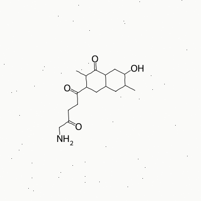 CC1CC2CC(C(=O)CCC(=O)CN)C(C)C(=O)C2CC1O